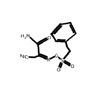 N#CC(=NOS(=O)(=O)Cc1ccccc1)C(N)=O